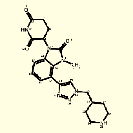 Cn1c(=O)n(C2CCC(=O)NC2=O)c2cccc(-c3cn(CC4CCNCC4)nn3)c21